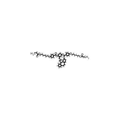 C=CC(=O)OCCCCCCOc1ccc(C(=O)Oc2ccc(OC(=O)c3ccc(OCCCCCCOC(=O)C=C)cc3)c(/C=N/N=c3c4ccccc4ccc4ccccc34)c2)cc1